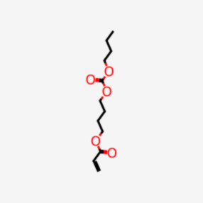 C=CC(=O)OCCCCOC(=O)OCCCC